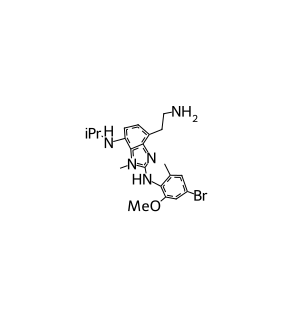 COc1cc(Br)cc(C)c1Nc1nc2c(CCN)ccc(NC(C)C)c2n1C